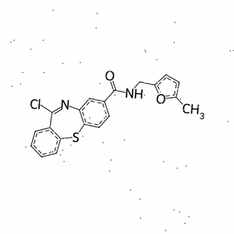 Cc1ccc(CNC(=O)c2ccc3c(c2)N=C(Cl)c2ccccc2S3)o1